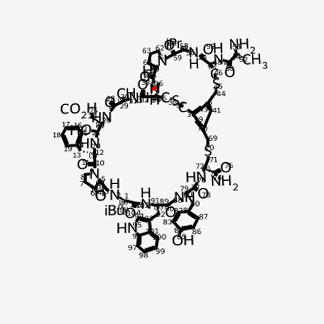 CC[C@@H](C)[C@H]1NC(=O)[C@H]2CCCN2C(=O)[C@H](Cc2ccccc2)NC(O)[C@@H](CC(=O)O)NC(=O)[C@H](C)NC(=O)[C@@H]2CSCc3cc(cc(c3)CSC[C@H](NC(=O)[C@@H](C)N)C(=O)N[C@H](C(C)C)C(=O)N3CCC[C@@H]3C(=O)N2)CSC[C@@H](C(N)=O)NC(=O)[C@@H](Cc2ccc(O)cc2)NC(=O)[C@@H](Cc2c[nH]c3ccccc23)NC1=O